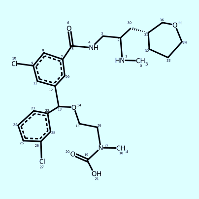 CNC(CNC(=O)c1cc(Cl)cc(C(OCCN(C)C(=O)O)c2cccc(Cl)c2)c1)C[C@H]1CCCOC1